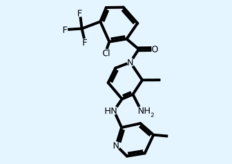 Cc1ccnc(NC2=C(N)C(C)N(C(=O)c3cccc(C(F)(F)F)c3Cl)C=C2)c1